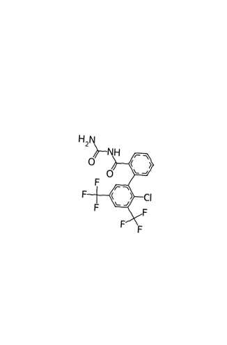 NC(=O)NC(=O)c1ccccc1-c1cc(C(F)(F)F)cc(C(F)(F)F)c1Cl